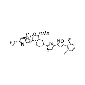 COC(=O)C1CC(c2nc(C3=NOC(c4c(F)cccc4F)C3)cs2)CCN1C(=O)Cn1nc(C(F)(F)F)cc1C